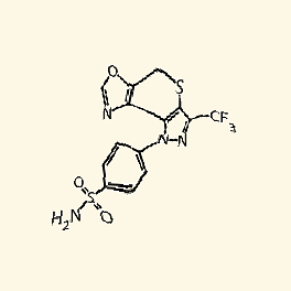 NS(=O)(=O)c1ccc(-n2nc(C(F)(F)F)c3c2-c2ncoc2CS3)cc1